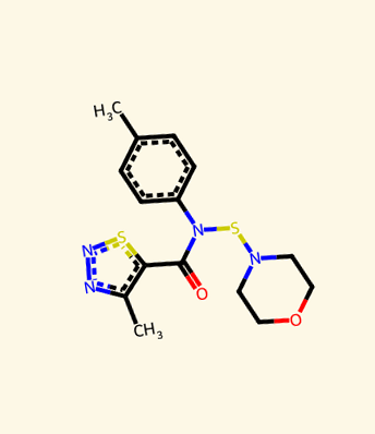 Cc1ccc(N(SN2CCOCC2)C(=O)c2snnc2C)cc1